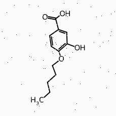 CCCCCOc1ccc(C(=O)O)cc1O